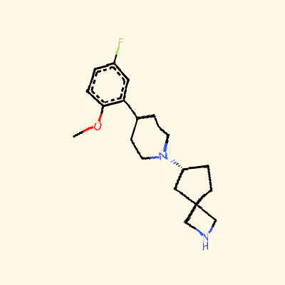 COc1ccc(F)cc1C1CCN([C@@H]2CCC3(CNC3)C2)CC1